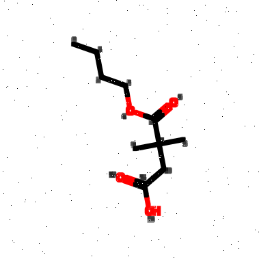 CCCCOC(=O)C(C)(C)CC(=O)O